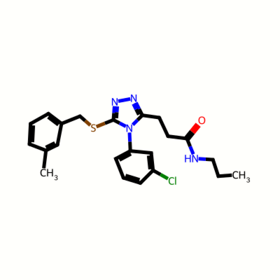 CCCNC(=O)CCc1nnc(SCc2cccc(C)c2)n1-c1cccc(Cl)c1